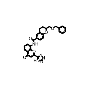 O=C(Nc1cccc2c(=O)cc(-c3nnn[nH]3)oc12)c1ccc2c(c1)CCC(COCc1ccccc1)O2